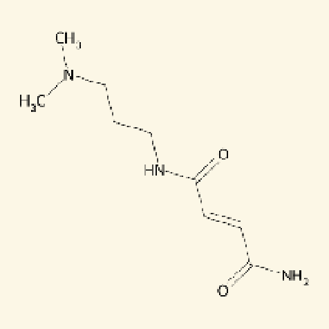 CN(C)CCCNC(=O)C=CC(N)=O